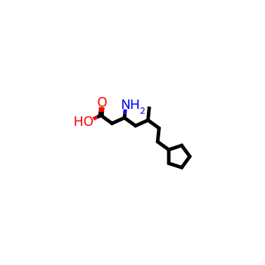 CC(CCC1CCCC1)CC(N)CC(=O)O